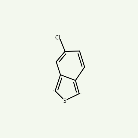 Clc1ccc2[c]s[c]c2c1